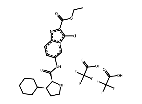 CCOC(=O)c1nc2ccc(NC(=O)[C@H]3NCC[C@H]3C3CCCCC3)cn2c1Cl.O=C(O)C(F)(F)F.O=C(O)C(F)(F)F